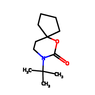 CC(C)(C)N1CCC2(CCCC2)OC1=O